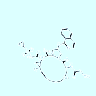 CC(C)(C)OC(=O)N[C@H]1CNCCC/C=C\[C@@H]2C[C@@]2(C(=O)NS(=O)(=O)C2CC2)NC(=O)[C@@H]2CC(Oc3nccc4ccccc34)CN2C1=O